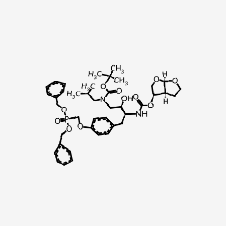 CC(C)CN(C[C@@H](O)[C@H](Cc1ccc(OCP(=O)(OCc2ccccc2)OCc2ccccc2)cc1)NC(=O)O[C@H]1CO[C@H]2OCC[C@H]21)C(=O)OC(C)(C)C